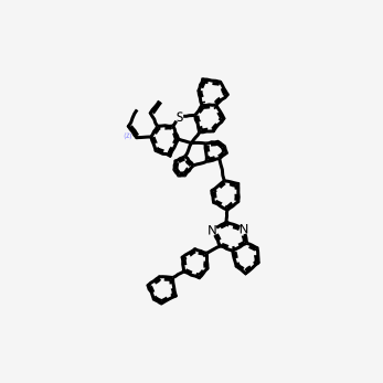 C=Cc1c(/C=C\C)ccc2c1Sc1c(ccc3ccccc13)C21c2ccccc2-c2c(-c3ccc(-c4nc(-c5ccc(-c6ccccc6)cc5)c5ccccc5n4)cc3)cccc21